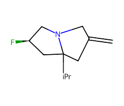 C=C1CN2C[C@H](F)CC2(C(C)C)C1